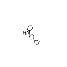 C1=CCCC(C2C=CC(NC3=CCCCC3)=CC2)=C1